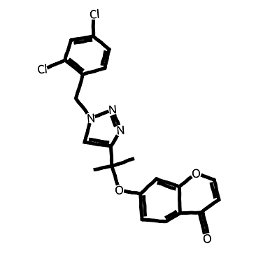 CC(C)(Oc1ccc2c(=O)ccoc2c1)c1cn(Cc2ccc(Cl)cc2Cl)nn1